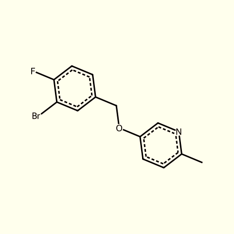 Cc1ccc(OCc2ccc(F)c(Br)c2)cn1